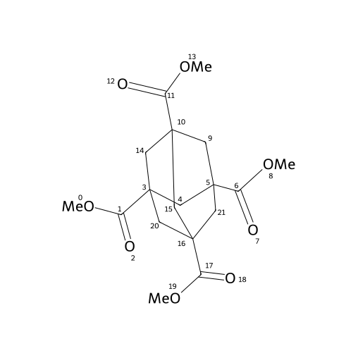 COC(=O)C12CC3(C(=O)OC)CC(C(=O)OC)(C1)CC(C(=O)OC)(C2)C3